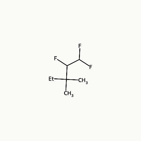 CCC(C)(C)C(F)C(F)F